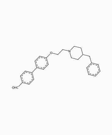 O=[C]c1ccc(-c2ccc(OCCN3CCC(Cc4ccccc4)CC3)cc2)cc1